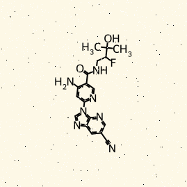 CC(C)(O)C(F)CNC(=O)c1cnc(-n2cnc3cc(C#N)cnc32)cc1N